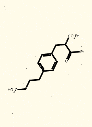 CCOC(=O)C(Cc1ccc(CCCC(=O)O)cc1)C(=O)C(C)C